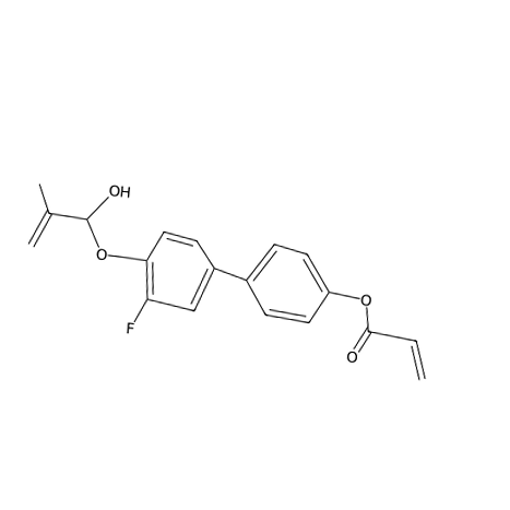 C=CC(=O)Oc1ccc(-c2ccc(OC(O)C(=C)C)c(F)c2)cc1